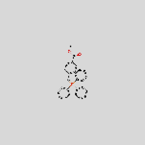 COC(=O)c1ccc(C=P(c2ccccc2)(c2ccccc2)c2ccccc2)cc1